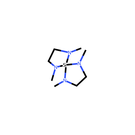 CN1CCN(C)[Si]12N(C)CCN2C